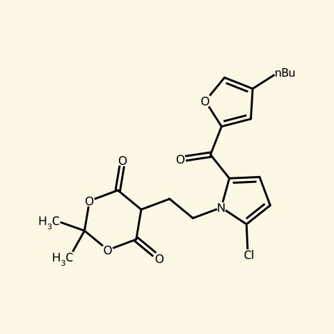 CCCCc1coc(C(=O)c2ccc(Cl)n2CCC2C(=O)OC(C)(C)OC2=O)c1